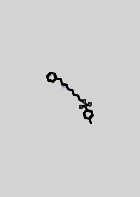 Cc1ccc(S(=O)(=O)OCCCCC/C=C/Cc2ccccc2)cc1